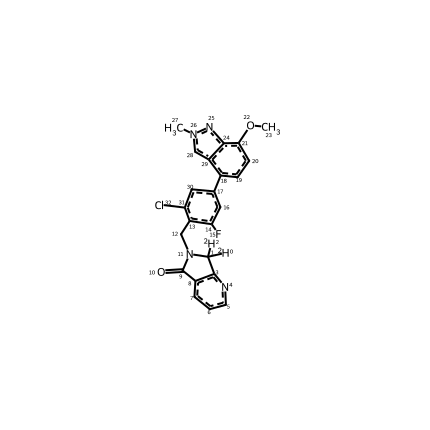 [2H]C1([2H])c2ncccc2C(=O)N1Cc1c(F)cc(-c2ccc(OC)c3nn(C)cc23)cc1Cl